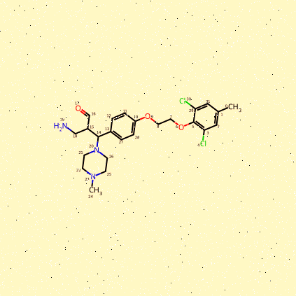 Cc1cc(Cl)c(OCCOc2ccc(C(C(C=O)CN)N3CCN(C)CC3)cc2)c(Cl)c1